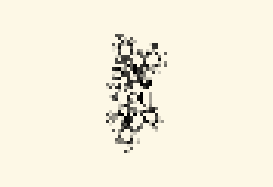 CC(=Cc1c(O)n(-c2ccccc2)n(-c2ccccc2)c1=O)C=C1C(=O)N(c2ccccc2)N(c2ccccc2)C1=O